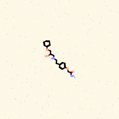 NC(=O)COc1ccc(CCNCC(O)COc2ccccc2)cc1